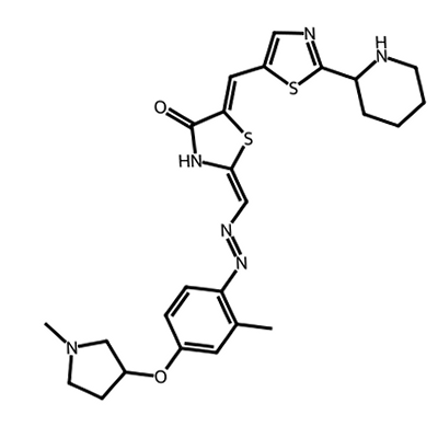 Cc1cc(OC2CCN(C)C2)ccc1N=NC=c1[nH]c(=O)c(=Cc2cnc(C3CCCCN3)s2)s1